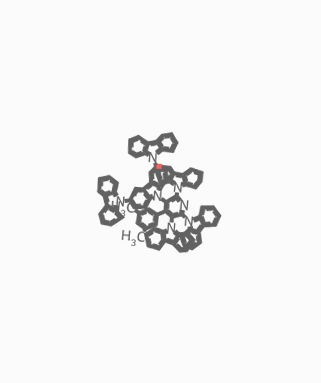 Cc1cc(C)cc(-c2c(-n3c4ccccc4c4ccccc43)c(-n3c4ccccc4c4ccccc43)nc(-n3c4ccccc4c4ccccc43)c2-n2c3ccc(-n4c5ccccc5c5ccccc54)cc3c3cc(-n4c5ccccc5c5ccccc54)ccc32)c1